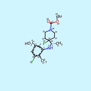 C[C@H](Nc1cc(C(=O)O)cc(F)c1C(F)(F)F)C1(F)CCN(C(=O)OC(C)(C)C)CC1